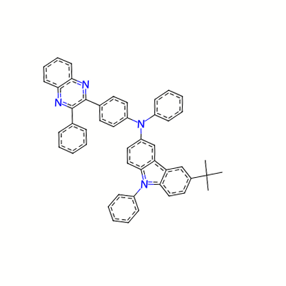 CC(C)(C)c1ccc2c(c1)c1cc(N(c3ccccc3)c3ccc(-c4nc5ccccc5nc4-c4ccccc4)cc3)ccc1n2-c1ccccc1